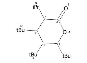 CC(C)C1C(=O)OC(C(C)(C)C)C(C(C)(C)C)C1C(C)(C)C